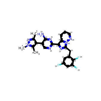 Cc1nn(C)c(C)c1-c1cnc(-c2nc(Cc3cc(F)cc(F)c3F)n3ncccc23)nc1N